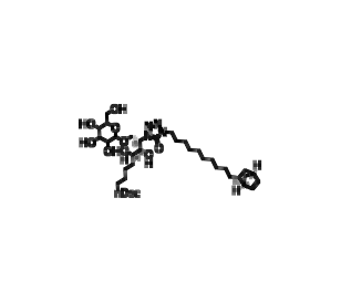 CCCCCCCCCCCCCC[C@@H](O)[C@@H](O)[C@H](COC1OC(CO)C(O)C(O)C1O)n1nnn(CCCCCCCCCC[C@H]2C[C@H]3C=C[C@@H]2C3)c1=O